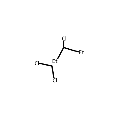 CCC(Cl)CC.ClCCl